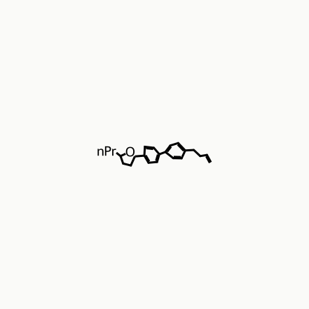 C=CCCc1ccc(-c2ccc(C3CCC(CCC)O3)cc2)cc1